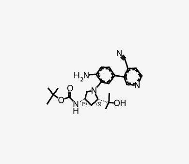 CC(C)(C)OC(=O)N[C@H]1C[C@@H](C(C)(C)O)N(c2cc(-c3cnccc3C#N)ccc2N)C1